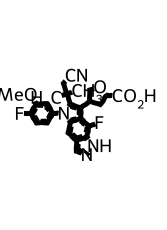 COc1cc(-n2c(C(C)(C)CC#N)c(C3COC(C(=O)O)C3)c3c(F)c4[nH]ncc4cc32)ccc1F